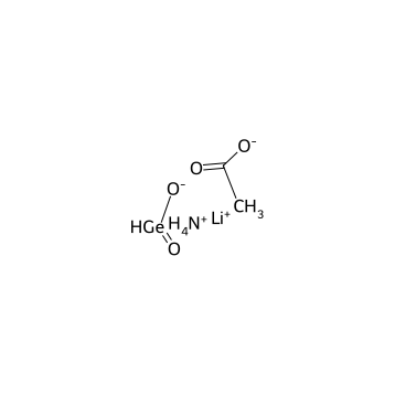 CC(=O)[O-].[Li+].[NH4+].[O]=[GeH][O-]